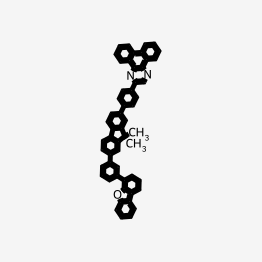 CC1(C)c2cc(-c3ccc(-c4cnc5c6ccccc6c6ccccc6c5n4)cc3)ccc2-c2ccc(-c3cccc(-c4cccc5c4oc4ccccc45)c3)cc21